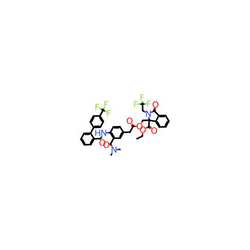 CCOC(=O)C1(COC(=O)Cc2ccc(NC(=O)c3ccccc3-c3ccc(C(F)(F)F)cc3)c(C(=O)N(C)C)c2)c2ccccc2C(=O)N1CC(F)(F)F